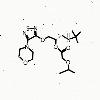 CC(C)OCC(=O)O[C@@H](CNC(C)(C)C)COc1nsnc1N1CCOCC1